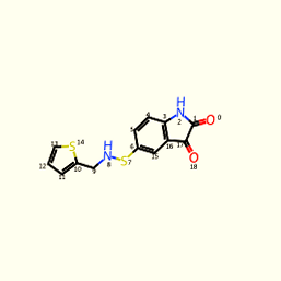 O=C1Nc2ccc(SNCc3cccs3)cc2C1=O